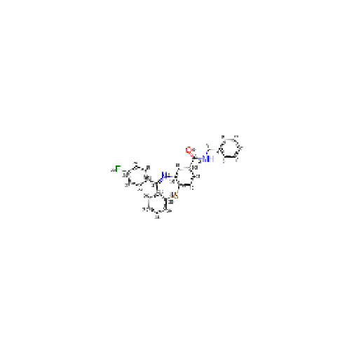 O=C(NCc1ccccc1)c1ccc2c(c1)N=C(c1ccc(F)cc1)c1ccccc1S2